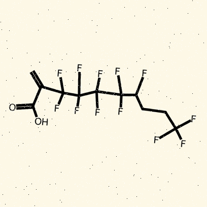 C=C(C(=O)O)C(F)(F)C(F)(F)C(F)(F)C(F)(F)C(F)CCC(F)(F)F